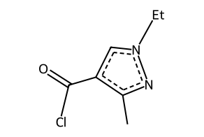 CCn1cc(C(=O)Cl)c(C)n1